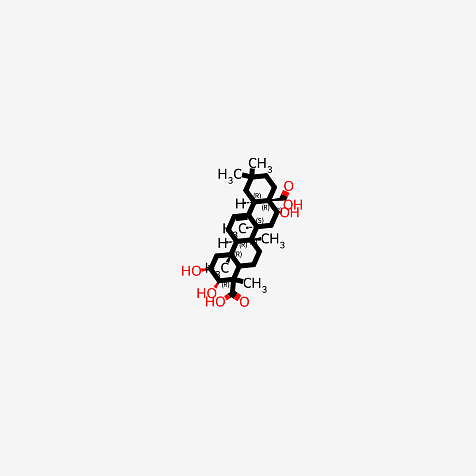 CC1(C)CC[C@]2(C(=O)O)[C@H](O)C[C@]3(C)C(=CC[C@@H]4[C@@]5(C)C[C@H](O)[C@H](O)C(C)(C(=O)O)C5CC[C@]43C)[C@H]2C1